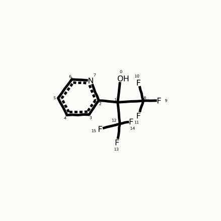 OC(c1ccc[c]n1)(C(F)(F)F)C(F)(F)F